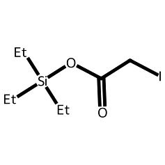 CC[Si](CC)(CC)OC(=O)CI